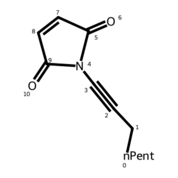 CCCCCCC#CN1C(=O)C=CC1=O